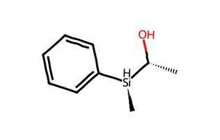 C[C@@H](O)[Si@@H](C)c1ccccc1